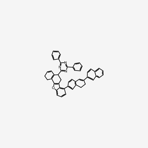 C1=CC2=C(CC1)c1oc3cccc(-c4ccc5c(c4)CCC(c4ccc6ccccc6c4)=C5)c3c1CC2c1nc(-c2ccccc2)nc(-c2ccccc2)n1